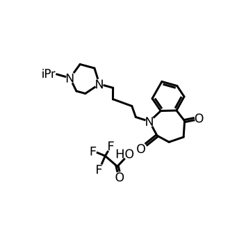 CC(C)N1CCN(CCCCN2C(=O)CCC(=O)c3ccccc32)CC1.O=C(O)C(F)(F)F